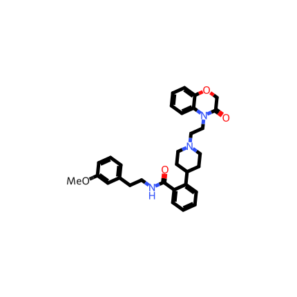 COc1cccc(CCNC(=O)c2ccccc2C2CCN(CCN3C(=O)COc4ccccc43)CC2)c1